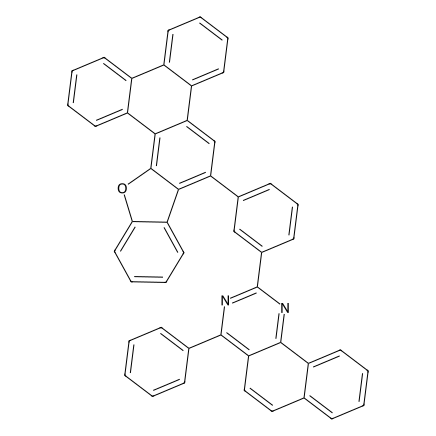 c1ccc(-c2nc(-c3cccc(-c4cc5c6ccccc6c6ccccc6c5c5oc6ccccc6c45)c3)nc3c2ccc2ccccc23)cc1